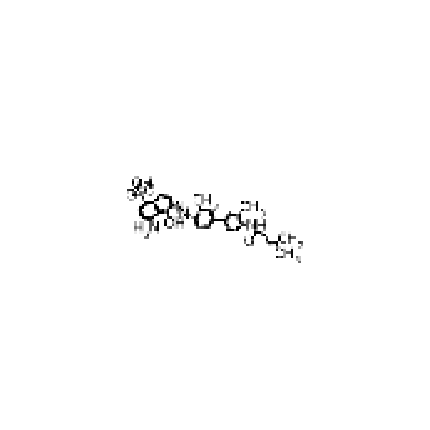 Cc1cc(-c2ccc(NC(=O)CCC(C)C)c(C)c2)ccc1N=Nc1ccc2c(S(=O)(=O)O)ccc(N)c2c1O